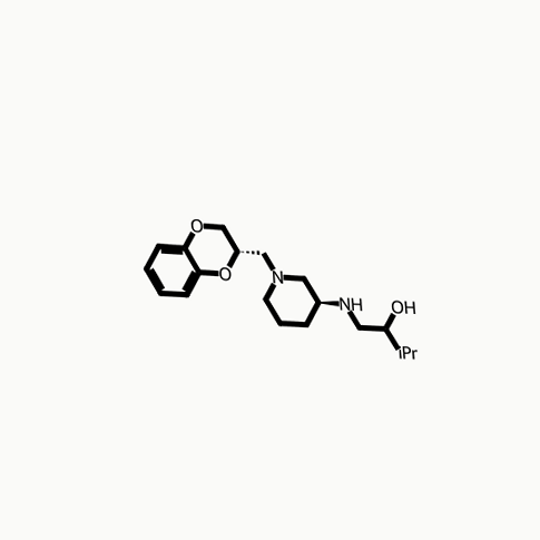 CC(C)C(O)CN[C@H]1CCCN(C[C@H]2COc3ccccc3O2)C1